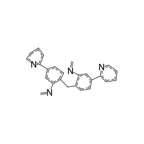 C=Nc1cc(-c2ccccn2)ccc1Cc1ccc(-c2ccccn2)cc1N=C